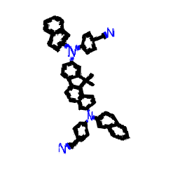 CC1(C)c2cc(N(c3ccc(C#N)cc3)c3ccc4ccccc4c3)ccc2-c2ccc3cc(N(c4ccc(C#N)cc4)c4ccc5ccccc5c4)ccc3c21